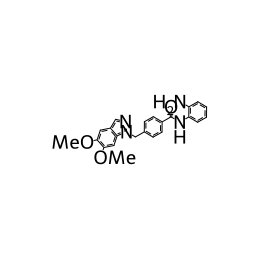 COc1cc2cnn(Cc3ccc(C(=O)Nc4ccccc4N)cc3)c2cc1OC